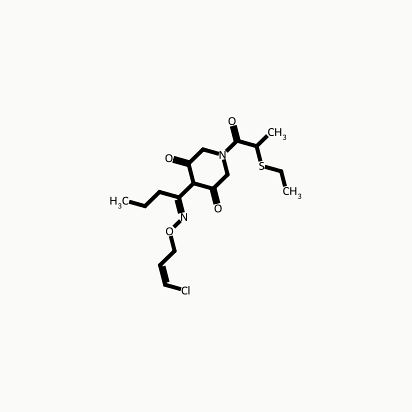 CCCC(=NOC/C=C\Cl)C1C(=O)CN(C(=O)C(C)SCC)CC1=O